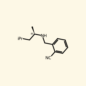 CC(C)C[C@@H](C)NCc1ccccc1C#N